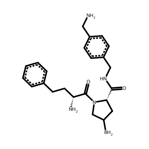 BC1C[C@@H](C(=O)NCc2ccc(CN)cc2)N(C(=O)[C@H](N)CCc2ccccc2)C1